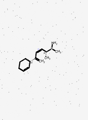 C=C(/C=C\[C@@H](C)N(C)N)[C@@H]1C=CCCC1